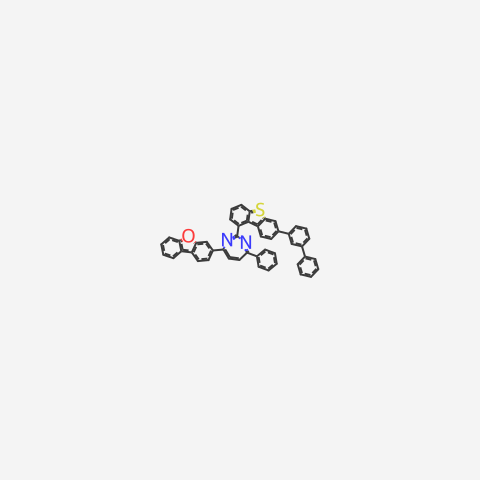 C1=CC(c2ccccc2)=NC(c2cccc3sc4cc(-c5cccc(-c6ccccc6)c5)ccc4c23)=NC=1c1ccc2c(c1)oc1ccccc12